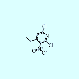 CCc1cc(Cl)nc(Cl)c1[N+](=O)[O-]